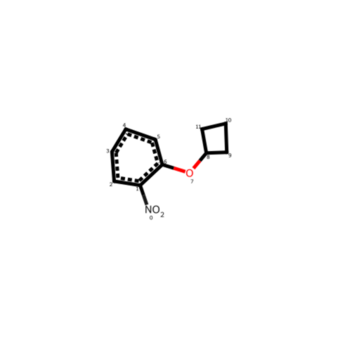 O=[N+]([O-])c1ccccc1OC1CCC1